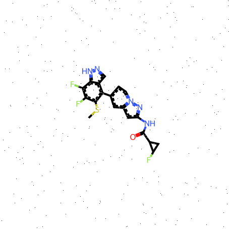 CSc1c(F)c(F)c2[nH]ncc2c1-c1ccn2nc(NC(=O)C3CC3F)cc2c1